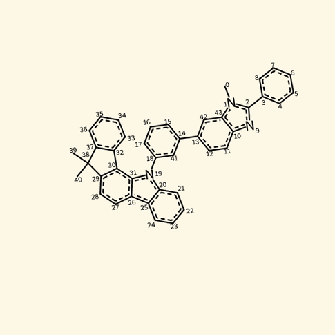 Cn1c(-c2ccccc2)nc2ccc(-c3cccc(-n4c5ccccc5c5ccc6c(c54)-c4ccccc4C6(C)C)c3)cc21